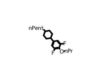 CCCCCC1CCC(c2cc(F)c(OCCC)c(F)c2)CC1